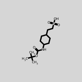 CC(C)(C)OC(=O)NC1CCC(CCS(=O)(=O)O)CC1